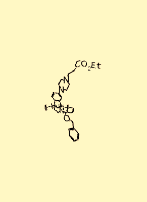 CCOC(=O)CCN1CCN(c2ccc3c(c2)[C@H]2C[C@@H]3CCN2C(=O)OCc2ccccc2)CC1